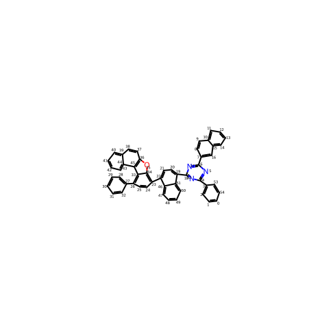 c1ccc(-c2nc(-c3ccc4ccccc4c3)nc(-c3ccc(-c4ccc(-c5ccccc5)c5c4oc4ccc6ccccc6c45)c4ccccc34)n2)cc1